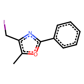 Cc1oc(-c2ccccc2)nc1CI